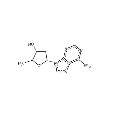 CC1O[C@@H](n2cnc3c(N)ncnc32)C[C@H]1O